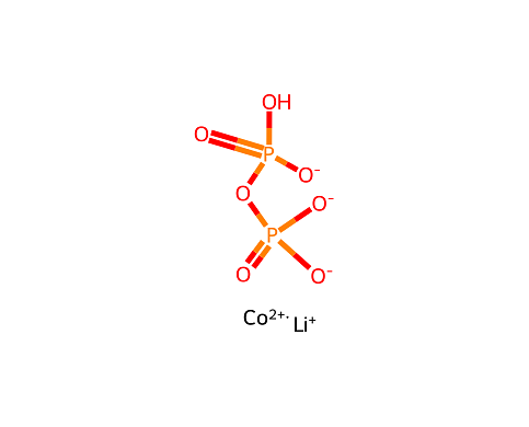 O=P([O-])([O-])OP(=O)([O-])O.[Co+2].[Li+]